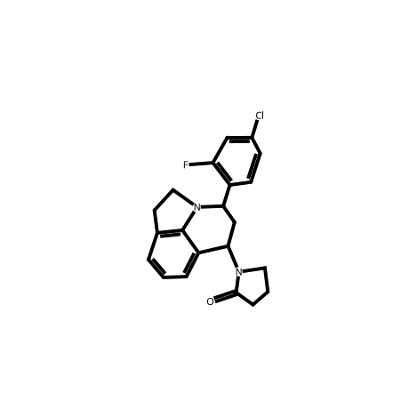 O=C1CCCN1C1CC(c2ccc(Cl)cc2F)N2CCc3cccc1c32